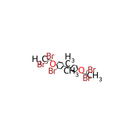 CC(Br)(CBr)COc1ccc(C(C)(C)c2ccc(OCC(C)(Br)CBr)c(Br)c2)cc1